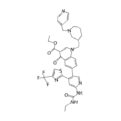 CCNC(=O)Nc1cc(-c2nc(C(F)(F)F)cs2)c(-c2ccc3c(c2)c(=O)c(C(=O)OCC)cn3CC2CCCN(Cc3ccncc3)C2)cn1